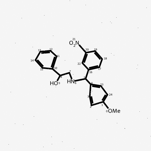 COc1ccc(C(NCC(O)c2ccccc2)c2cccc([N+](=O)[O-])c2)cc1